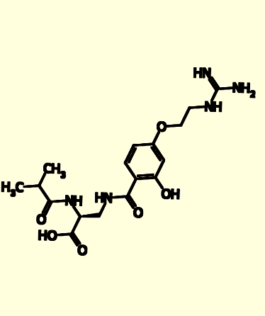 CC(C)C(=O)N[C@@H](CNC(=O)c1ccc(OCCNC(=N)N)cc1O)C(=O)O